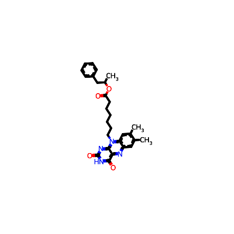 Cc1cc2nc3c(=O)[nH]c(=O)nc-3n(CCCCCCC(=O)OC(C)Cc3ccccc3)c2cc1C